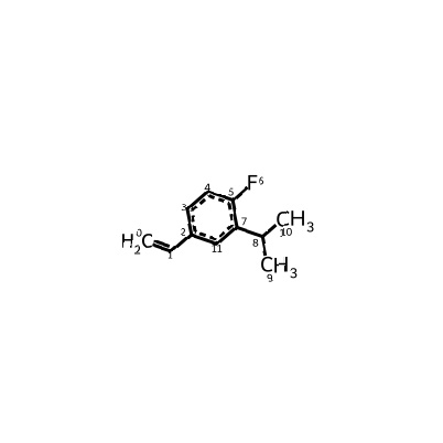 C=Cc1ccc(F)c(C(C)C)c1